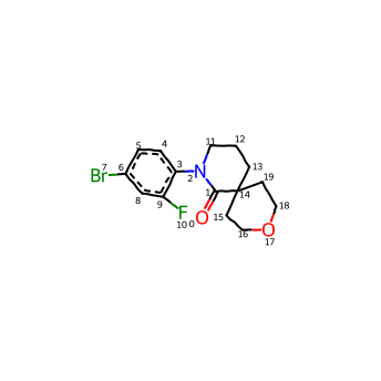 O=C1N(c2ccc(Br)cc2F)CCCC12CCOCC2